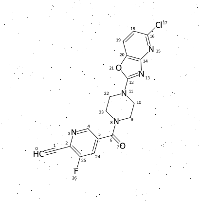 C#Cc1ncc(C(=O)N2CCN(c3nc4nc(Cl)ccc4o3)CC2)cc1F